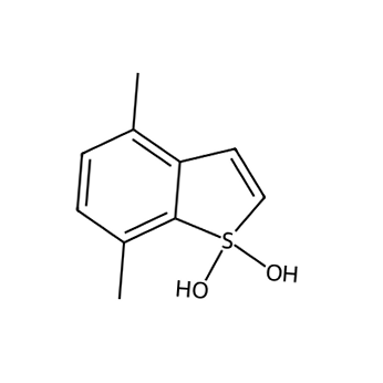 Cc1ccc(C)c2c1C=CS2(O)O